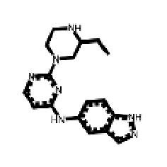 CCC1CN(c2nccc(Nc3ccc4[nH]ncc4c3)n2)CCN1